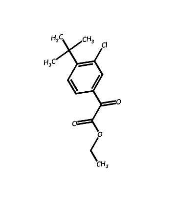 CCOC(=O)C(=O)c1ccc(C(C)(C)C)c(Cl)c1